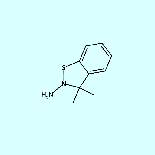 CC1(C)c2ccccc2SN1N